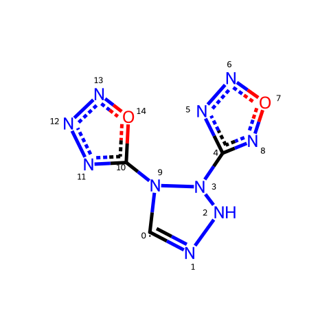 [C]1=NNN(c2nnon2)N1c1nnno1